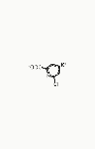 O=C([O-])c1cccc(Cl)n1.[K+]